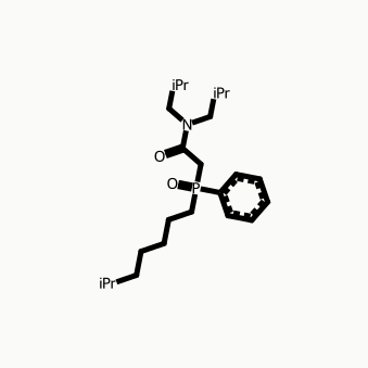 CC(C)CCCCCP(=O)(CC(=O)N(CC(C)C)CC(C)C)c1ccccc1